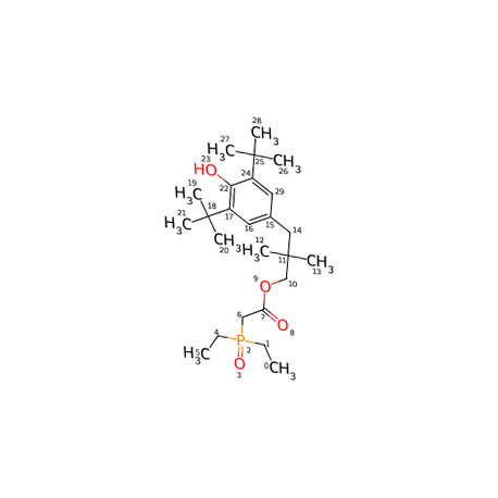 CCP(=O)(CC)CC(=O)OCC(C)(C)Cc1cc(C(C)(C)C)c(O)c(C(C)(C)C)c1